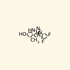 Cc1cc(O)cc(Nc2ncn(-c3cc(F)cc(F)c3)n2)c1C